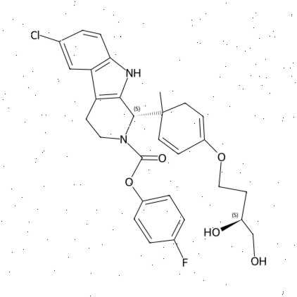 CC1([C@H]2c3[nH]c4ccc(Cl)cc4c3CCN2C(=O)Oc2ccc(F)cc2)C=CC(OCC[C@H](O)CO)=CC1